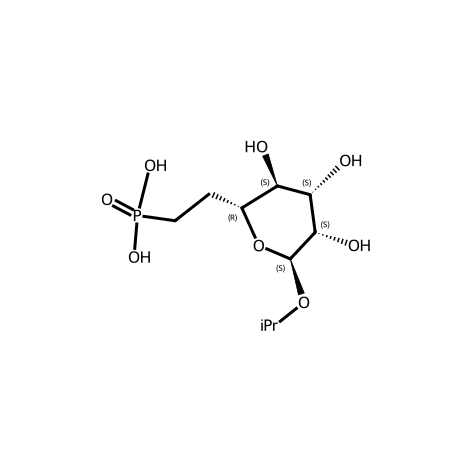 CC(C)O[C@H]1O[C@H](CCP(=O)(O)O)[C@@H](O)[C@H](O)[C@@H]1O